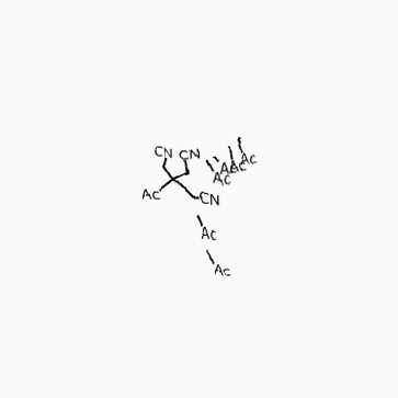 CC(=O)C(CC#N)(CC#N)CC#N.CC(C)=O.CC(C)=O.CC(C)=O.CC(C)=O.CC(C)=O.CC(C)=O